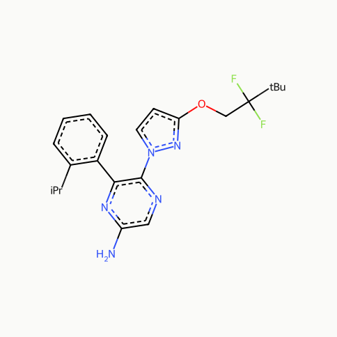 CC(C)c1ccccc1-c1nc(N)cnc1-n1ccc(OCC(F)(F)C(C)(C)C)n1